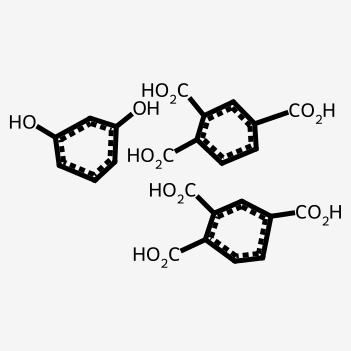 O=C(O)c1ccc(C(=O)O)c(C(=O)O)c1.O=C(O)c1ccc(C(=O)O)c(C(=O)O)c1.Oc1cccc(O)c1